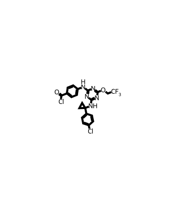 O=C(Cl)c1ccc(Nc2nc(NC3(c4ccc(Cl)cc4)CC3)nc(OCC(F)(F)F)n2)cc1